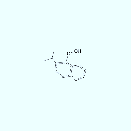 CC(C)c1ccc2ccccc2c1OO